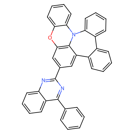 c1ccc(-c2nc(-c3cc4c5c(c3)-c3ccccc3-c3ccccc3N5c3ccccc3O4)nc3ccccc23)cc1